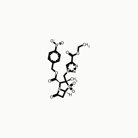 CCOC(=O)c1cn(C[C@@]2(C)[C@H](C(=O)OCc3ccc([N+](=O)[O-])cc3)N3C(=O)C[C@@H]3S2(=O)=O)nn1